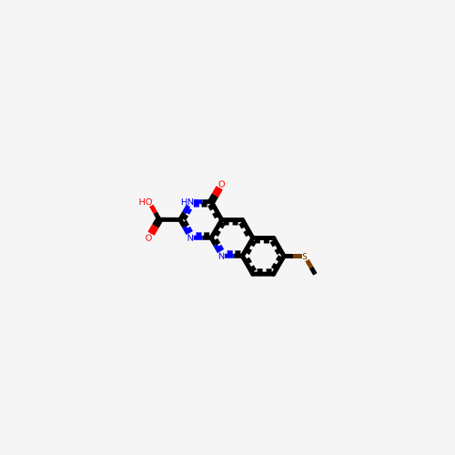 CSc1ccc2nc3nc(C(=O)O)[nH]c(=O)c3cc2c1